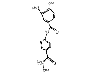 COc1ccc(C(=O)Nc2ccc(C(=O)NO)cc2)cc1OC